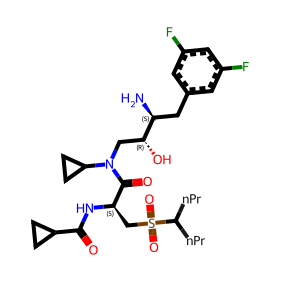 CCCC(CCC)S(=O)(=O)C[C@@H](NC(=O)C1CC1)C(=O)N(C[C@@H](O)[C@@H](N)Cc1cc(F)cc(F)c1)C1CC1